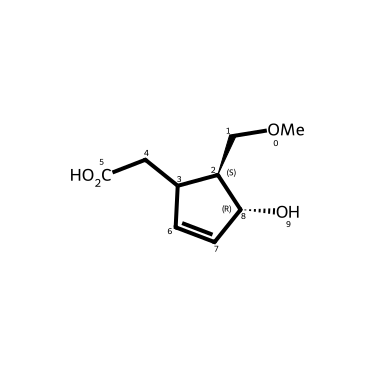 COC[C@@H]1C(CC(=O)O)C=C[C@H]1O